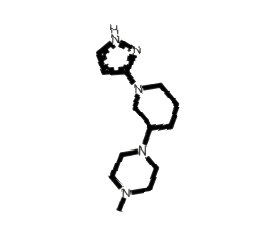 CN1CCN(C2CCCN(c3cc[nH]n3)C2)CC1